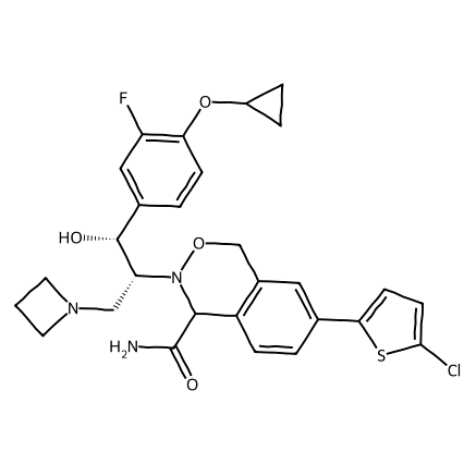 NC(=O)C1c2ccc(-c3ccc(Cl)s3)cc2CON1[C@H](CN1CCC1)[C@H](O)c1ccc(OC2CC2)c(F)c1